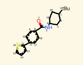 CC(C)(C)C1CCC(NC(=O)c2ccc(-c3cccs3)cc2)CC1